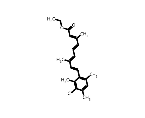 CCOC(=O)C=C(C)C=CC=C(C)C=Cc1c(C)cc(C)c(Cl)c1C